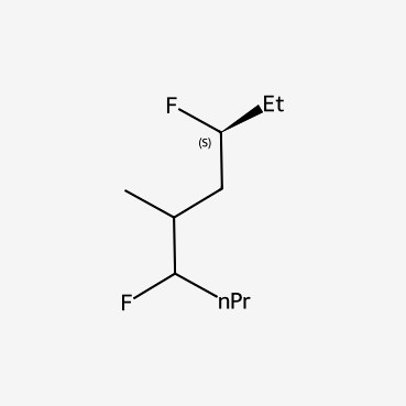 CCCC(F)C(C)C[C@@H](F)CC